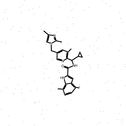 Cc1cn(Cc2cnc(C(NC(=O)c3cc4c(F)ccc(C)c4[nH]3)C3CC3)c(C)c2)c(C)n1